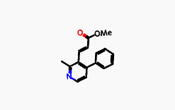 COC(=O)C=Cc1c(-c2ccccc2)ccnc1C